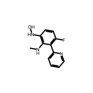 CNc1c(NO)ccc(F)c1-c1ccccn1